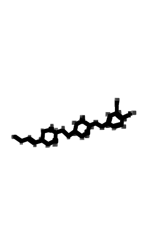 CCC=CC1COC(CCC2COC(CCc3ccc(F)c(F)c3)OC2)OC1